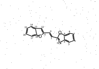 C(=Cc1nc2ccccc2o1)c1cc2ccccc2o1